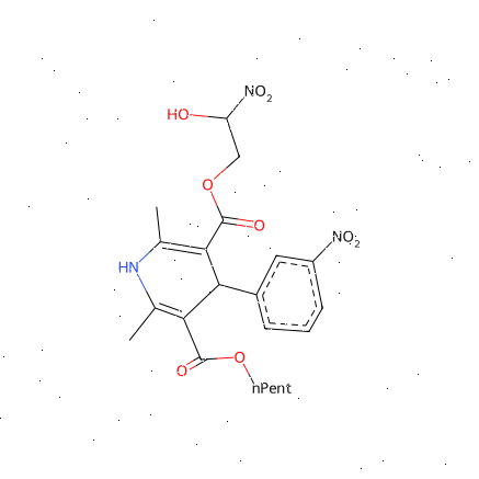 CCCCCOC(=O)C1=C(C)NC(C)=C(C(=O)OCC(O)[N+](=O)[O-])C1c1cccc([N+](=O)[O-])c1